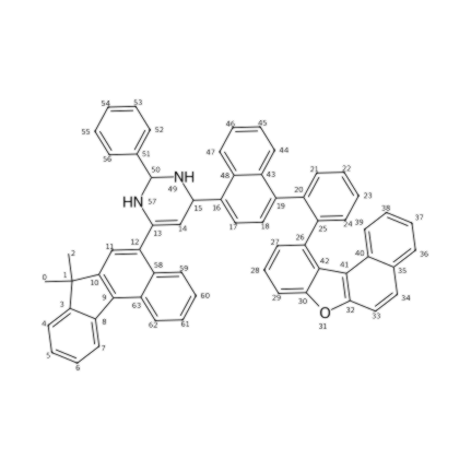 CC1(C)c2ccccc2-c2c1cc(C1=CC(c3ccc(-c4ccccc4-c4cccc5oc6ccc7ccccc7c6c45)c4ccccc34)NC(c3ccccc3)N1)c1ccccc21